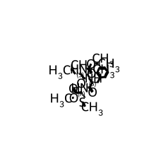 COC(=O)[C@H](CSC)NC(=O)[C@H](Cc1ccccc1)NC(=O)[C@H](CC(C)C)NC(=O)OC(C)(C)C